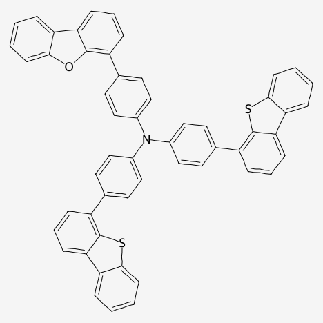 c1ccc2c(c1)oc1c(-c3ccc(N(c4ccc(-c5cccc6c5sc5ccccc56)cc4)c4ccc(-c5cccc6c5sc5ccccc56)cc4)cc3)cccc12